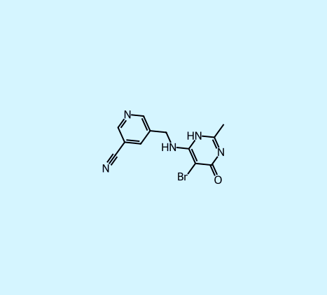 Cc1nc(=O)c(Br)c(NCc2cncc(C#N)c2)[nH]1